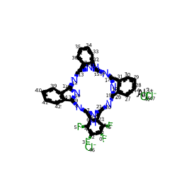 Fc1c(F)c(F)c2c3nc4nc(nc5[nH]c(nc6nc(nc([nH]3)c2c1F)-c1ccccc1-6)c1ccccc51)-c1ccccc1-4.[Al+3].[Cl-].[Cl-].[Cl-]